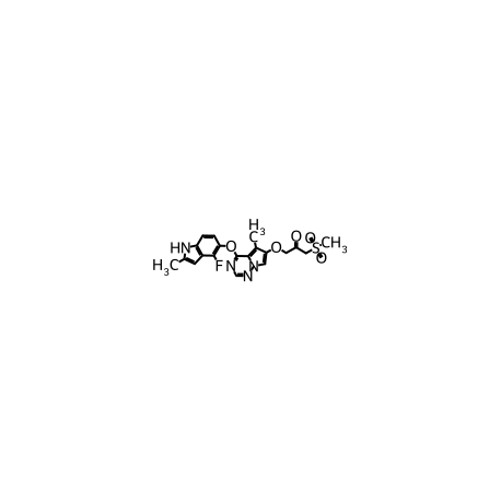 Cc1cc2c(F)c(Oc3ncnn4cc(OCC(=O)CS(C)(=O)=O)c(C)c34)ccc2[nH]1